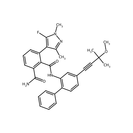 COC(C)(C)C#Cc1ccc(-c2ccccc2)c(NC(=O)c2c(C(N)=O)cccc2-c2c(C)nn(C)c2F)c1